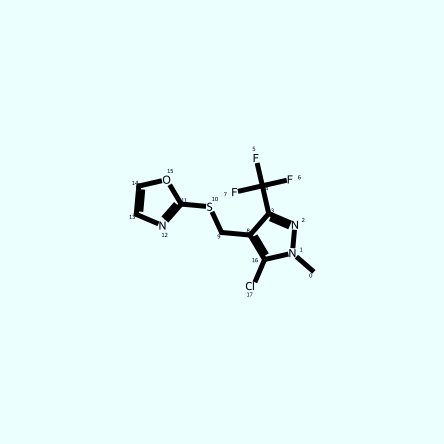 Cn1nc(C(F)(F)F)c(CSc2ncco2)c1Cl